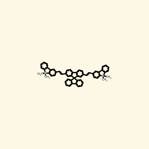 C[Si]1(C)c2ccccc2-c2cc(/C=C/c3ccc4c(c3)C3(c5ccccc5-c5ccccc53)c3cc(/C=C/c5ccc6c(c5)-c5ccccc5[Si]6(C)C)ccc3-4)ccc21